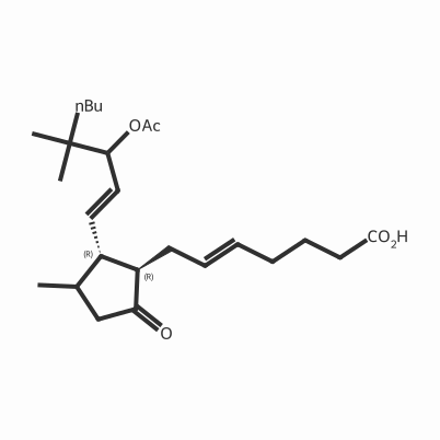 CCCCC(C)(C)C(C=C[C@H]1C(C)CC(=O)[C@@H]1CC=CCCCC(=O)O)OC(C)=O